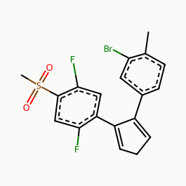 Cc1ccc(C2=CCC=C2c2cc(F)c(S(C)(=O)=O)cc2F)cc1Br